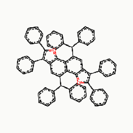 c1ccc(-c2oc3c(cc(C(c4ccccc4)c4ccccc4)c4c5oc(-c6ccccc6)c(-c6ccccc6)c5cc(C(c5ccccc5)c5ccccc5)c34)c2-c2ccccc2)cc1